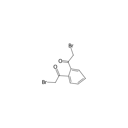 O=C(CBr)c1ccccc1C(=O)CBr